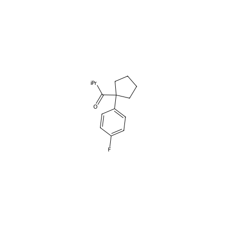 CC(C)C(=O)C1(c2ccc(F)cc2)CCCC1